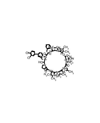 CC[C@H](C)[C@@H]1NC(=O)[C@@H]2CCCN2C(O)[C@H](Cc2cccc(-c3ccc(Cl)c(Cl)c3)c2)N(C)C(=O)[C@H](Cc2ccccc2)NC(=O)[C@H](C(C)C)N(C)C(=O)[C@@H]([C@@H](C)CC)OC(=O)[C@H](C(C)(C)O)N(C)C(=O)[C@H](CC(C)C)NC(=O)[C@H](C(C)C)N(C)C1=O